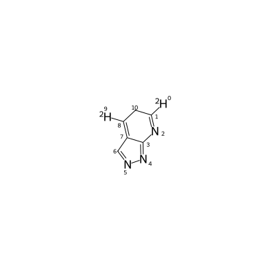 [2H]C1=NC2=NN=CC2=C([2H])C1